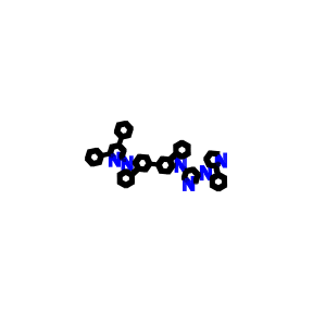 c1ccc(-c2cc(-c3ccccc3)nc(-n3c4ccccc4c4cc(-c5ccc6c(c5)c5ccccc5n6-c5cncc(-n6c7ccccc7c7ncccc76)c5)ccc43)c2)cc1